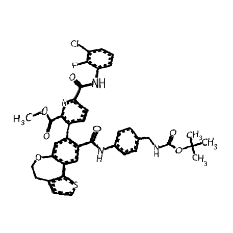 COC(=O)c1nc(C(=O)Nc2cccc(Cl)c2F)ccc1-c1cc2c(cc1C(=O)Nc1ccc(CNC(=O)OC(C)(C)C)cc1)-c1sccc1CCO2